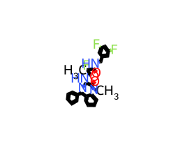 CN1C(=O)C(NC(=O)C(C)(F)C(=O)NCc2cc(F)cc(F)c2)N=C(c2ccccc2)c2ccccc21